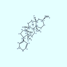 C[C@]12CC[C@H](N)C[C@H]1CC[C@@H]1[C@@H]2CC[C@]2(C)[C@@H](C3=COCC=C3)CC[C@]12O